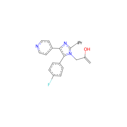 C=C(O)Cn1c(C(C)C)nc(-c2ccncc2)c1-c1ccc(F)cc1